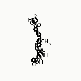 CC1c2ccc(O[C@H]3CN4c5cc(-c6cccc(Cl)c6O)nnc5NC[C@@]4(C(F)F)C3)nc2CCN1CC1CCN(c2ccc3c(c2)C(=O)N([C@H]2CCC(=O)NC2=O)C3)CC1